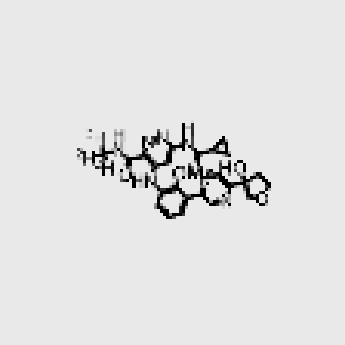 [2H]C([2H])([2H])NC(=O)c1nnc(NC(=O)C2CC2)cc1Nc1cccc(-c2cnc(C3(O)CCOC3)cn2)c1OC